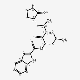 CC(C)C[C@H](NC(=O)c1nc2ccccc2[nH]1)C(=O)N[C@H](C)C[C@@H]1CCNC1=O